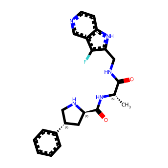 C[C@H](NC(=O)[C@H]1C[C@H](c2ccccc2)CN1)C(=O)NCc1[nH]c2ccncc2c1F